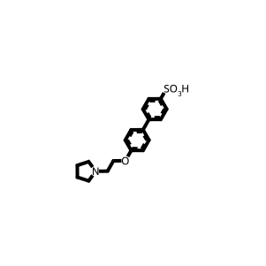 O=S(=O)(O)c1ccc(-c2ccc(OCCN3CCCC3)cc2)cc1